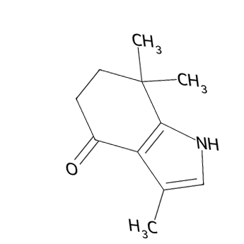 Cc1c[nH]c2c1C(=O)CCC2(C)C